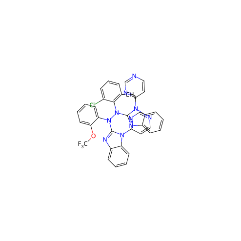 Cc1cccc(Cl)c1N(c1nc2ccccc2n1-c1ccncn1)N(c1ccccc1OC(F)(F)F)c1nc2ccccc2n1-c1ccncn1